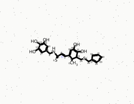 CC1C(/C=C/C(=S)NCc2cc(O)c(O)c(O)c2)=CC(O)=C(O)C1CSCc1ccccc1